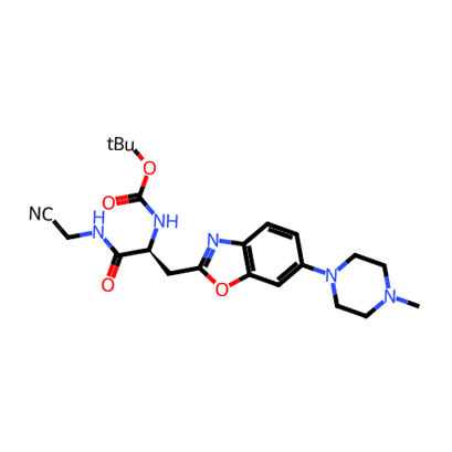 CN1CCN(c2ccc3nc(C[C@H](NC(=O)OC(C)(C)C)C(=O)NCC#N)oc3c2)CC1